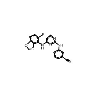 N#Cc1cccc(Nc2nccc(Nc3c(F)ccc4c3OCO4)n2)c1